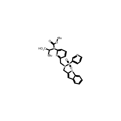 CC(C)(C)OC(=O)N(c1cccc(CN(Cc2cc3ccccc3s2)S(=O)(=O)c2cccnc2)n1)C(C(=O)O)C(C)(C)C